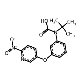 CC(C)(C)N(C(=O)O)c1cccc(Oc2ccc([N+](=O)[O-])nc2)c1